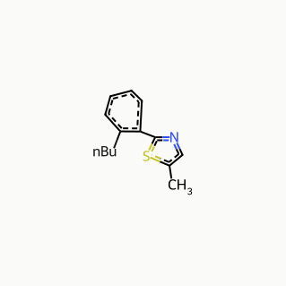 CCCCc1ccccc1-c1ncc(C)s1